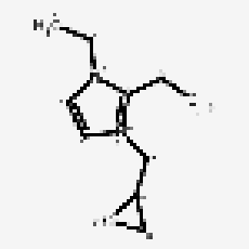 CCc1n(CC)cc[n+]1CC1CO1